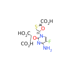 Nc1nc(=O)n([C@@H]2CS[C@H](C(=O)O)O2)cc1F.O=C(O)CCC(=O)O